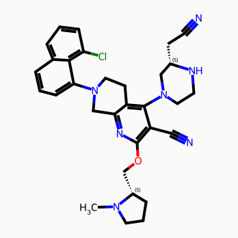 CN1CCC[C@H]1COc1nc2c(c(N3CCN[C@@H](CC#N)C3)c1C#N)CCN(c1cccc3cccc(Cl)c13)C2